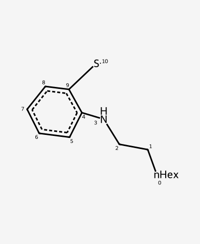 CCCCCCCCNc1ccccc1[S]